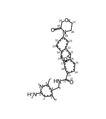 Cc1cc(N)nc(C)c1CNC(=O)c1ccc2c(c1)c1oc2c2cc(N3CCOCC3=O)ccc21